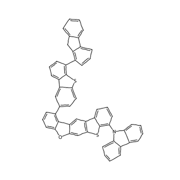 c1ccc2c(c1)Cc1c-2cccc1-c1cccc2c1sc1ccc(-c3cccc4oc5cc6sc7c(-n8c9ccccc9c9ccccc98)cccc7c6cc5c34)cc12